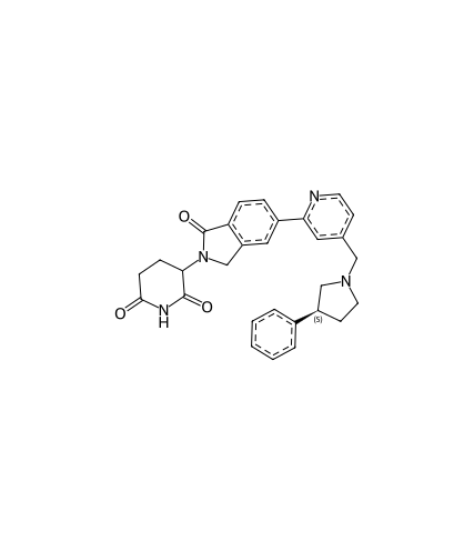 O=C1CCC(N2Cc3cc(-c4cc(CN5CC[C@@H](c6ccccc6)C5)ccn4)ccc3C2=O)C(=O)N1